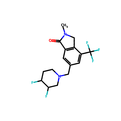 CN1Cc2c(cc(CN3CCC(F)C(F)C3)cc2C(F)(F)F)C1=O